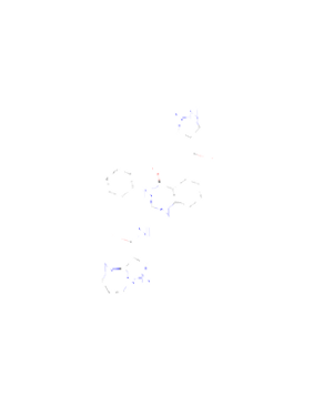 Cc1nn2cccnc2c1C(=O)NC(C)c1nc2cccc(CC(=O)c3cnn(C)c3)c2c(=O)n1-c1ccccc1